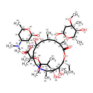 CC[C@H]1OC(=O)[C@H](C)[C@@H](O[C@H]2C[C@@](C)(OC)[C@@H](O)[C@H](C)O2)[C@H](C)[C@@H](O[C@@H]2O[C@H](C)C[C@H](N(C)C)[C@H]2OC(=O)[C@H](C)OC(=O)C(C)C)[C@](C)(O)C[C@@H](C)CN(C)[C@H](C)[C@@H](O)[C@]1(C)O